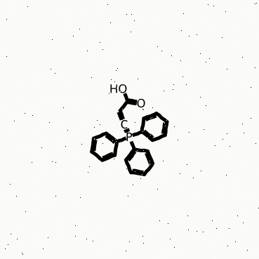 O=C(O)C=C=P(c1ccccc1)(c1ccccc1)c1ccccc1